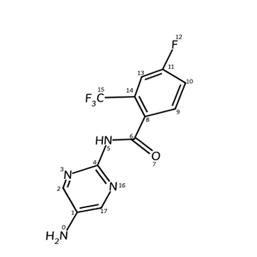 Nc1cnc(NC(=O)c2ccc(F)cc2C(F)(F)F)nc1